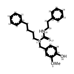 COc1cc(CN(CCCCc2ccccc2)C(=S)NCCc2ccccc2)ccc1O